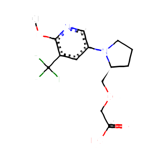 COc1ncc(N2CCC[C@H]2COCC(=O)O)cc1C(F)(F)F